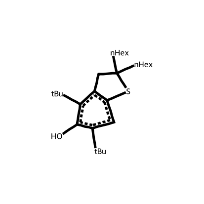 CCCCCCC1(CCCCCC)Cc2c(cc(C(C)(C)C)c(O)c2C(C)(C)C)S1